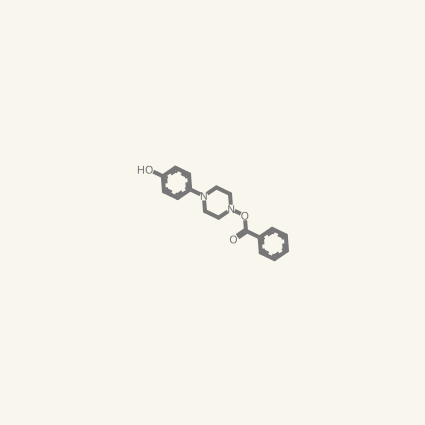 O=C(ON1CCN(c2ccc(O)cc2)CC1)c1ccccc1